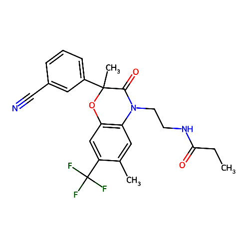 CCC(=O)NCCN1C(=O)C(C)(c2cccc(C#N)c2)Oc2cc(C(F)(F)F)c(C)cc21